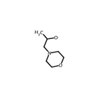 CC([O])CN1CCOCC1